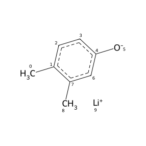 Cc1ccc([O-])cc1C.[Li+]